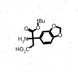 CC(C)(C)OC(=O)C(N)(CC(=O)O)c1ccc2c(c1)OCO2